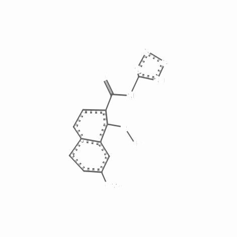 COc1ccc2ccc(C(=O)Nc3nnn[nH]3)c(OC(C)C)c2c1